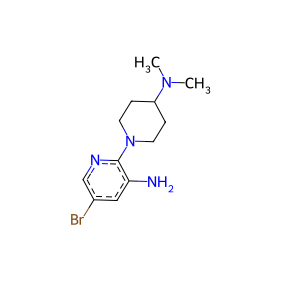 CN(C)C1CCN(c2ncc(Br)cc2N)CC1